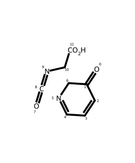 O=C1C=CC=NC1.O=C=NCC(=O)O